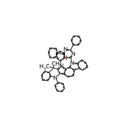 CC1(C)c2ccccc2N(c2ccccc2)c2c1n(-c1ccccc1)c1c2ccc2c3ccccc3n(-c3nc(-c4ccccc4)nc(-c4ccccc4)n3)c21